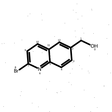 OCc1ccc2nc(Br)ccc2c1